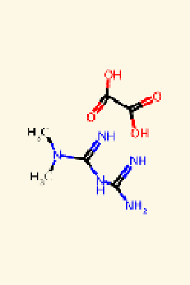 CN(C)C(=N)NC(=N)N.O=C(O)C(=O)O